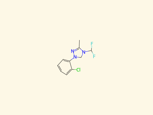 CC1=NN(c2ccccc2Cl)CN1C(F)F